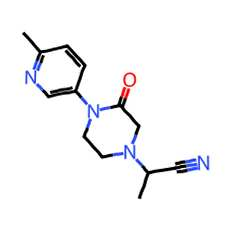 Cc1ccc(N2CCN(C(C)C#N)CC2=O)cn1